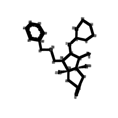 O=C1C[C@@H]2C(Br)C(OC3CCCCO3)C(COCc3ccccc3)[C@@H]2C1